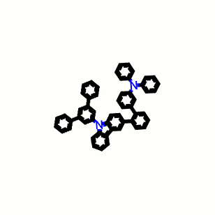 c1ccc(-c2cc(-c3ccccc3)cc(-n3c4ccccc4c4cc(-c5ccccc5-c5cccc(N(c6ccccc6)c6ccccc6)c5)ccc43)c2)cc1